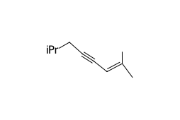 CC(C)=CC#CCC(C)C